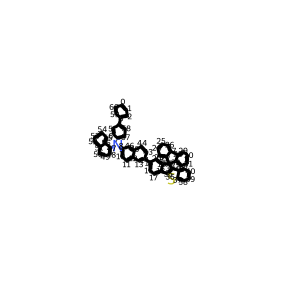 c1ccc(-c2ccc(N(c3ccc4cc(-c5ccc6c(c5)C5(c7ccccc7-c7ccccc75)c5c-6sc6ccccc56)ccc4c3)c3cccc4ccccc34)cc2)cc1